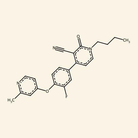 CCCCn1ccc(-c2ccc(Oc3ccnc(C)c3)c(F)c2)c(C#N)c1=O